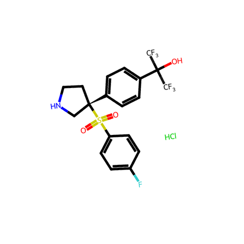 Cl.O=S(=O)(c1ccc(F)cc1)[C@@]1(c2ccc(C(O)(C(F)(F)F)C(F)(F)F)cc2)CCNC1